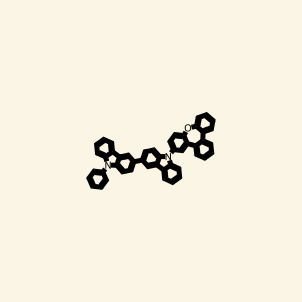 c1ccc(-n2c3ccccc3c3cc(-c4ccc5c(c4)c4ccccc4n5-c4ccc5c(c4)-c4ccccc4-c4ccccc4O5)ccc32)cc1